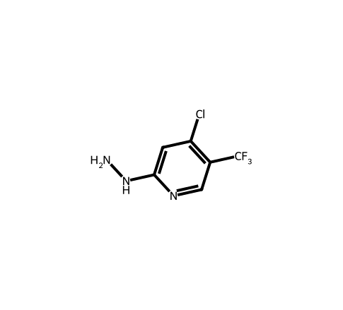 NNc1cc(Cl)c(C(F)(F)F)cn1